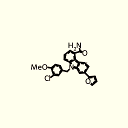 COc1ccc(Cn2c3cc(-c4ccco4)c[c]c3c3c(C(N)=O)cccc32)cc1Cl